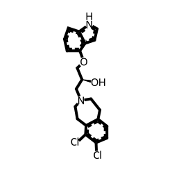 O[C@H](COc1cccc2[nH]ccc12)CN1CCc2ccc(Cl)c(Cl)c2CC1